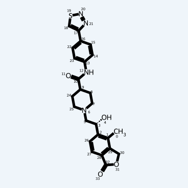 Cc1c([C@@H](O)CN2CCC(C(=O)Nc3ccc(-c4csnn4)cc3)CC2)ccc2c1COC2=O